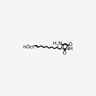 CCCCCCCCC=CCCCCCCCCn1c(N)cc(=O)[nH]c1=O